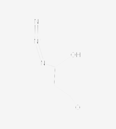 [N-]=[N+]=NC(O)CC[O]